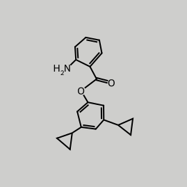 Nc1ccccc1C(=O)Oc1cc(C2CC2)cc(C2CC2)c1